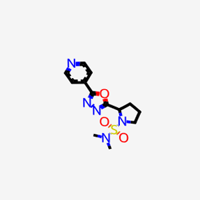 CN(C)S(=O)(=O)N1CCCC1c1nnc(-c2ccncc2)o1